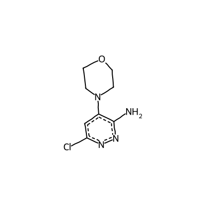 Nc1nnc(Cl)cc1N1CCOCC1